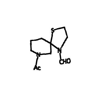 CC(=O)N1CCCC2(C1)SCCN2C=O